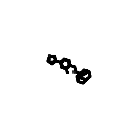 Cc1cc(-c2ccoc2)ccc1CNC12CC3CC(CC(C3)C1)C2